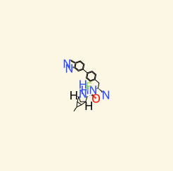 CC1C2C1[C@H]1C[C@@H]2N[C@@H]1C(=O)N[C@H](C#N)Cc1ccc(-c2ccc3cnn(C)c3c2)cc1F